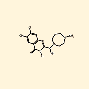 CCCC(c1nc2cc(Cl)c(Cl)cc2c(=O)n1CC)N1CCCN(C)CC1